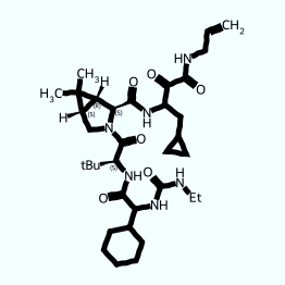 C=CCNC(=O)C(=O)C(CC1CC1)NC(=O)[C@@H]1[C@@H]2[C@H](CN1C(=O)[C@@H](NC(=O)C(NC(=O)NCC)C1CCCCC1)C(C)(C)C)C2(C)C